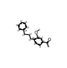 COc1cc(C(C)=O)ccc1CCCc1ccccc1